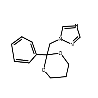 c1ccc(C2(Cn3cncn3)OCCCO2)cc1